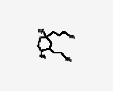 CC1CCC(C)(CCCN)CC1CCN